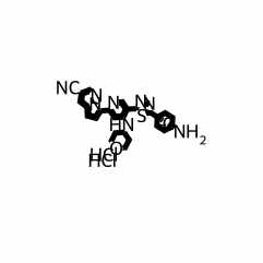 Cl.Cl.N#Cc1cnn2c(-c3cc(NC4CCOCC4)c(-c4nnc(C56CCC(N)(CC5)CC6)s4)cn3)ccc2c1